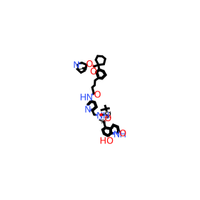 CC(C)(C)[Si](C)(C)O[C@@H](CNCc1ccc(NC(=O)CCCc2cccc(C3(C(=O)OC4CN5CCC4CC5)CCCCC3)c2)cn1)c1ccc(O)c2[nH]c(=O)ccc12